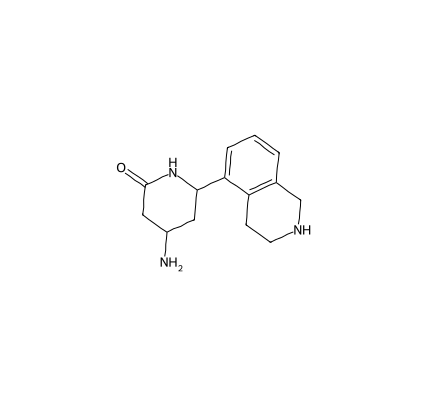 NC1CC(=O)NC(c2cccc3c2CCNC3)C1